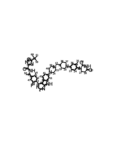 Cc1cc(-c2ncnc3[nH]c4cc(N5CCN(CC6CCN(c7ccc(N8CCC(=O)NC8=O)c(C)c7)CC6)CC5)ccc4c23)c(F)cc1[C@@H](C)NC(=O)c1noc(C(C)(C)C)n1